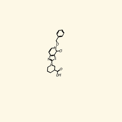 O=C(O)C1CCCN(c2nc3c(s2)C(Cl)N(OCc2ccccc2)C=C3)C1